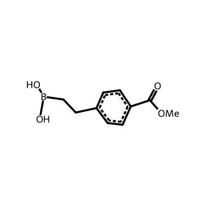 COC(=O)c1ccc(CCB(O)O)cc1